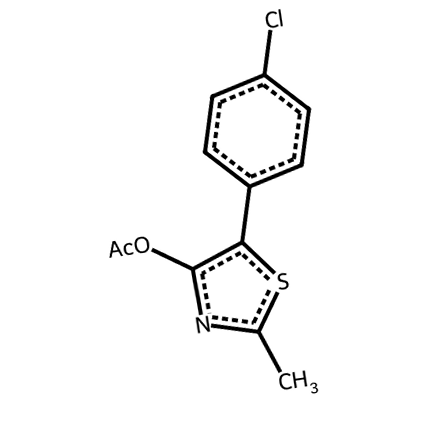 CC(=O)Oc1nc(C)sc1-c1ccc(Cl)cc1